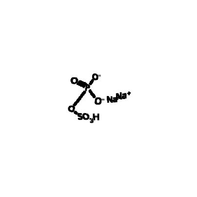 O=P([O-])([O-])OS(=O)(=O)O.[Na+].[Na+]